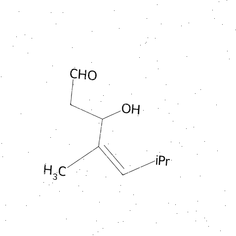 CC(=CC(C)C)C(O)CC=O